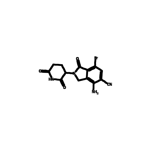 N#Cc1cc(Br)c2c(c1N)CN(C1CCC(=O)NC1=O)C2=O